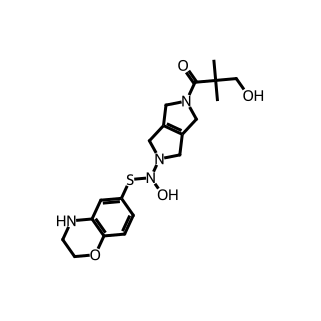 CC(C)(CO)C(=O)N1CC2=C(C1)CN(N(O)Sc1ccc3c(c1)NCCO3)C2